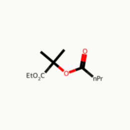 CCCC(=O)OC(C)(C)C(=O)OCC